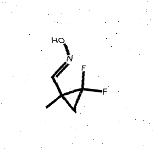 CC1(C=NO)CC1(F)F